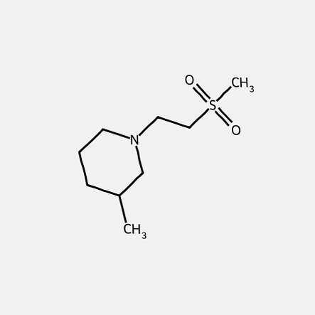 CC1CCCN(CCS(C)(=O)=O)C1